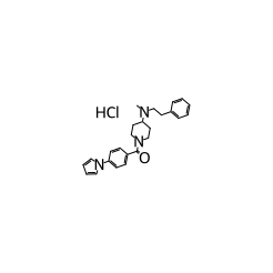 CN(CCc1ccccc1)C1CCN(C(=O)c2ccc(-n3cccc3)cc2)CC1.Cl